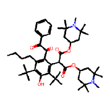 CCCCc1c(C(=O)C(=O)c2ccccc2)c(C(C(=O)OC2CC(C)(C)N(C)C(C)(C)C2)C(=O)OC2CC(C)(C)N(C)C(C)(C)C2)c(C(C)(C)C)c(O)c1C(C)(C)C